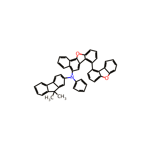 CC1(C)c2ccccc2-c2ccc(N(c3ccccc3)c3cc4c(oc5cccc(-c6cccc7oc8ccccc8c67)c54)c4ccccc34)cc21